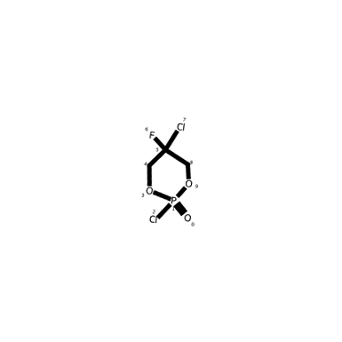 O=P1(Cl)OCC(F)(Cl)CO1